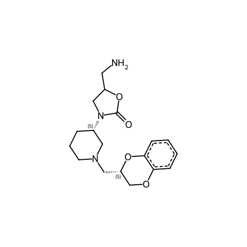 NCC1CN([C@H]2CCCN(C[C@H]3COc4ccccc4O3)C2)C(=O)O1